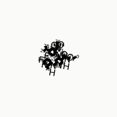 CCONC(=O)c1cnc(Nc2ccc(F)nc2C)cc1Nc1cc(F)c(C(C)C)cc1N(C)S(C)(=O)=O